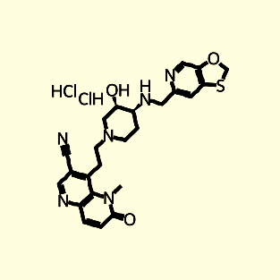 Cl.Cl.Cn1c(=O)ccc2ncc(C#N)c(CCN3CC[C@H](NCc4cc5c(cn4)OCS5)[C@H](O)C3)c21